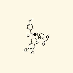 C=Cc1ccc(C(=O)NC(Cc2ccc(Cl)c(Cl)c2)C(=O)N2CCC3OCC(=O)C32)cc1